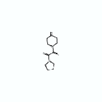 O=C(C(=O)N1CCNCC1)N1CCCC1